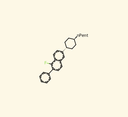 CCCCC[C@H]1CC[C@H](c2ccc3c(F)c(-c4ccccc4)ccc3c2)CC1